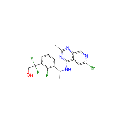 Cc1nc(N[C@H](C)c2cccc(C(F)(F)CO)c2F)c2cc(Br)ncc2n1